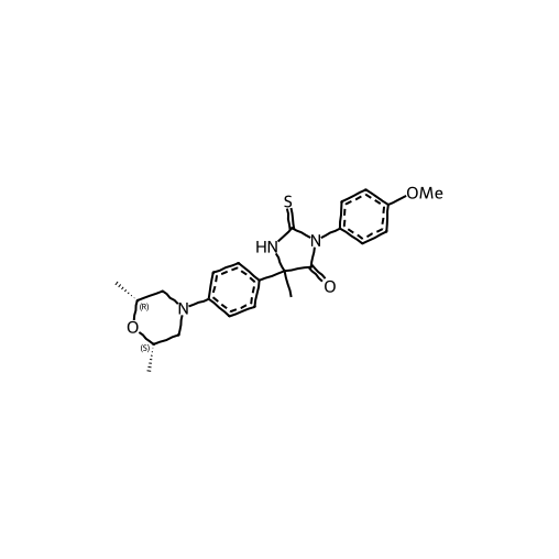 COc1ccc(N2C(=O)C(C)(c3ccc(N4C[C@@H](C)O[C@@H](C)C4)cc3)NC2=S)cc1